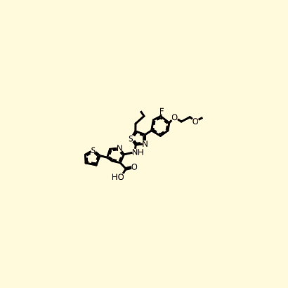 CCCc1sc(Nc2ncc(-c3cccs3)cc2C(=O)O)nc1-c1ccc(OCCOC)c(F)c1